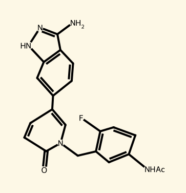 CC(=O)Nc1ccc(F)c(Cn2cc(-c3ccc4c(N)n[nH]c4c3)ccc2=O)c1